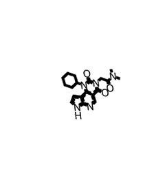 CN(C)C(=O)Cn1c(=O)c2cnc3[nH]ccc3c2n(C2CCCCC2)c1=O